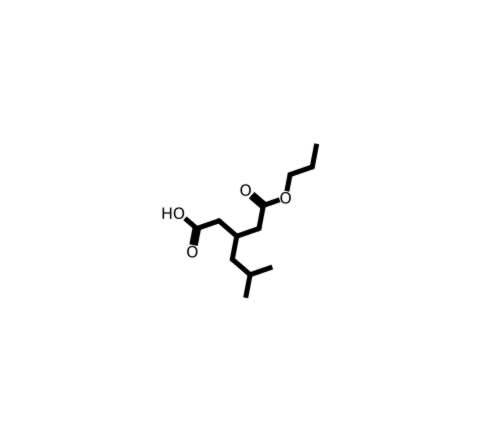 CCCOC(=O)CC(CC(=O)O)CC(C)C